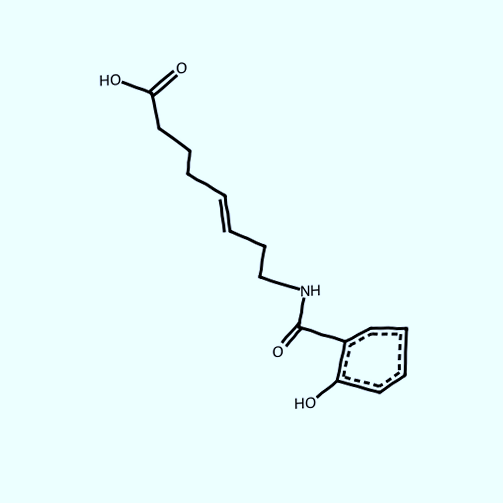 O=C(O)CCCC=CCCNC(=O)c1ccccc1O